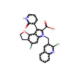 O=C(O)c1c(-c2ccc[nH]c2=O)c2c3c(c(F)cc2n1Cc1cc2ccccc2nc1Cl)CCO3